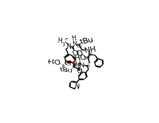 CN(Cc1ccccc1)C(=O)N[C@H](C(=O)N[C@@H](Cc1ccccc1)[C@@H](O)C[C@H](Cc1ccc(-c2ccccn2)cc1)NC(=O)[C@@H](NC(=O)O)C(C)(C)C)C(C)(C)C